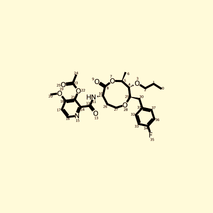 CCCO[C@H]1[C@H](C)OC(=O)[C@@H](NC(=O)c2nccc(OC)c2OC(C)=O)CCO[C@@H]1Cc1ccc(F)cc1